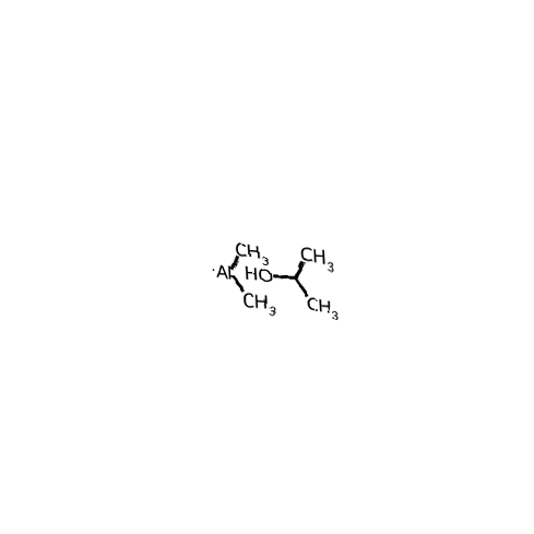 CC(C)O.[CH3][Al][CH3]